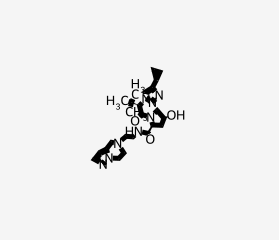 CC(C)(C)[C@@H](C(=O)N1C[C@H](O)C[C@H]1C(=O)NCCN1CCn2nccc2C1)n1cc(C2CC2)nn1